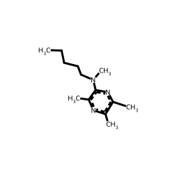 CCCCCN(C)c1nc(C)c(C)nc1C